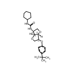 CC(C)(C)c1ccc(O[C@H]2CO[C@H]3[C@@H]2OC[C@@H]3NC(=O)NC2CCCCC2)cc1